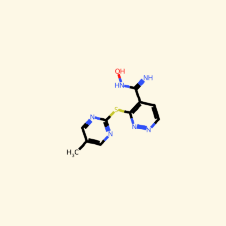 Cc1cnc(Sc2nnccc2C(=N)NO)nc1